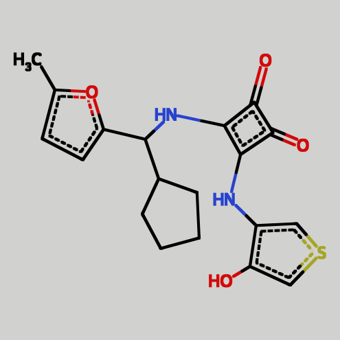 Cc1ccc(C(Nc2c(Nc3cscc3O)c(=O)c2=O)C2CCCC2)o1